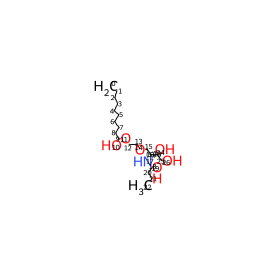 C=CCCCCCCCC(O)OCCOC[C@H](NC(O)CCC)[C@@H](O)CO